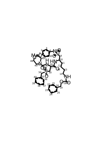 COc1ccc(NS(=O)(=O)CC(CCCCNC(=O)OCc2ccccc2)NC(=O)C(CS(=O)(=O)Cc2ccccc2)NC(=O)N2CCOCC2)cc1